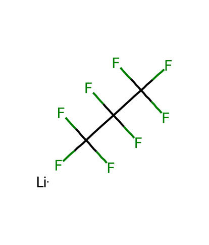 FC(F)(F)C(F)(F)C(F)(F)F.[Li]